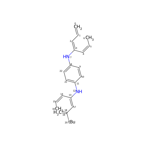 C=C/C=C(\C=C/C)Nc1ccc(NC(/C=C\C)=C/C(=C)C(C)(C)C)cc1